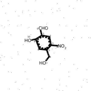 O=Cc1cc([N+](=O)[O-])c(CO)cc1O